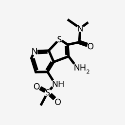 CN(C)C(=O)c1sc2nccc(NS(C)(=O)=O)c2c1N